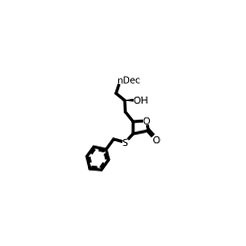 CCCCCCCCCCC[C@@H](O)CC1OC(=O)C1SCc1ccccc1